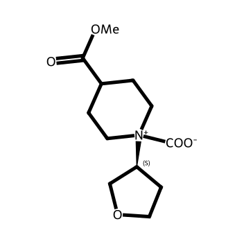 COC(=O)C1CC[N+](C(=O)[O-])([C@H]2CCOC2)CC1